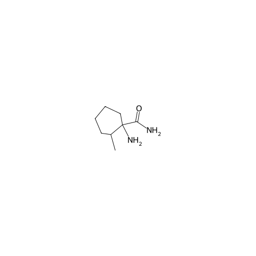 CC1CCCCC1(N)C(N)=O